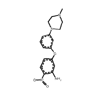 CN1CCN(c2cccc(Oc3ccc([N+](=O)[O-])c(N)c3)c2)CC1